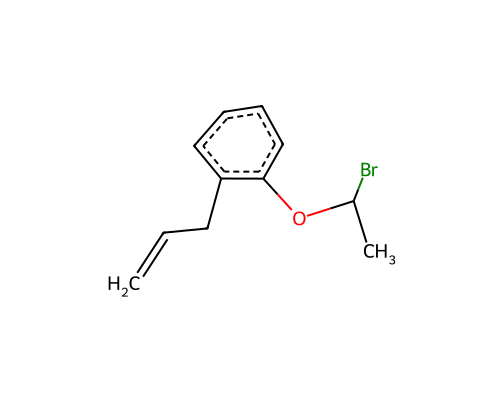 C=CCc1ccccc1OC(C)Br